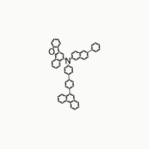 c1ccc(-c2ccc3cc(N(c4ccc(-c5ccc(-c6cc7ccccc7c7ccccc67)cc5)cc4)c4cc5c6ccccc6oc5c5ccccc45)ccc3c2)cc1